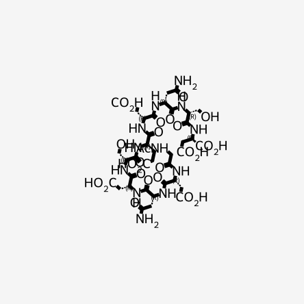 CC(=O)NCC(=O)N[C@H](CC(=O)O)C(=O)N[C@H](CC(N)=O)C(=O)N[C@H](CC(=O)O)C(=O)N[C@H](CO)C(=O)N[C@H](CCC(=O)O)C(=O)N[C@H](CC(=O)O)C(=O)N[C@H](CC(N)=O)C(=O)N[C@H](CO)C(=O)N[C@H](CC(=O)O)C(=O)O